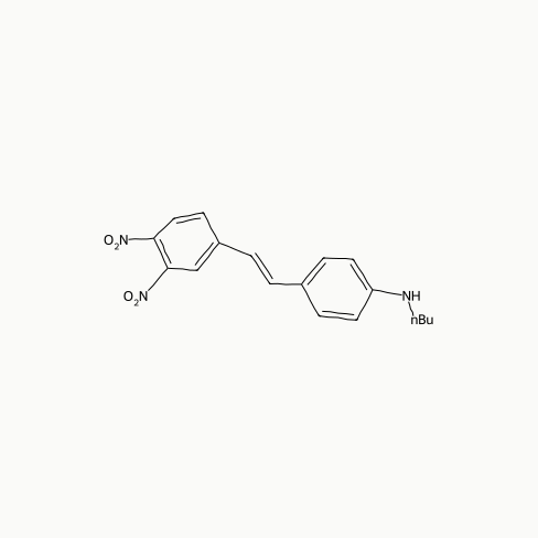 CCCCNc1ccc(C=Cc2ccc([N+](=O)[O-])c([N+](=O)[O-])c2)cc1